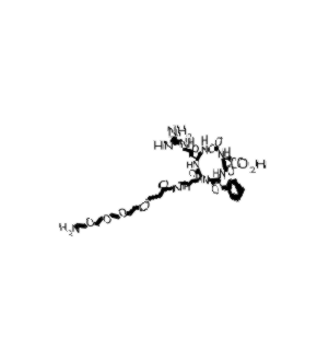 N=C(N)NCCC[C@@H]1NC(=O)[C@H](CCCCNC(=O)CCOCCOCCOCCOCCN)NC(=O)[C@@H](Cc2ccccc2)NC(=O)[C@H](CC(=O)O)NC(=O)CNC1=O